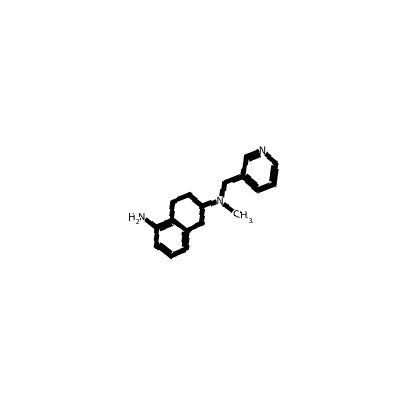 CN(Cc1cccnc1)C1CCc2c(N)cccc2C1